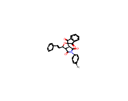 CC(=O)c1ccc(N2C(=O)C3C(/C=C/c4ccccc4)OC4(C(=O)c5ccccc5C4=O)C3C2=O)cc1